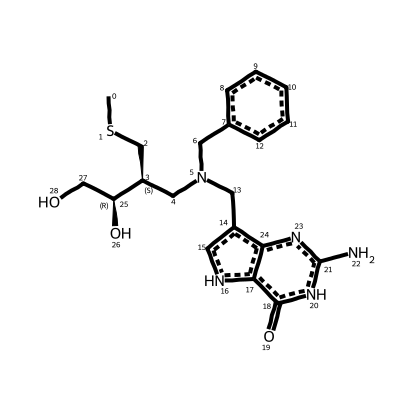 CSC[C@@H](CN(Cc1ccccc1)Cc1c[nH]c2c(=O)[nH]c(N)nc12)[C@@H](O)CO